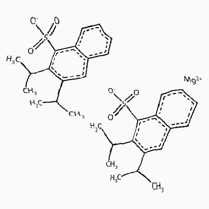 CC(C)c1cc2ccccc2c(S(=O)(=O)[O-])c1C(C)C.CC(C)c1cc2ccccc2c(S(=O)(=O)[O-])c1C(C)C.[Mg+2]